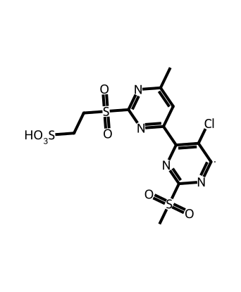 Cc1cc(-c2nc(S(C)(=O)=O)n[c]c2Cl)nc(S(=O)(=O)CCS(=O)(=O)O)n1